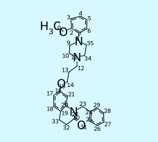 COc1ccccc1N1CCN(CCCOc2ccc3c(c2)N(Cc2ccccc2)C(=O)CC3)CC1